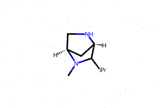 CC(C)C1[C@H]2C[C@H](CN2)N1C